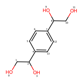 OCC(O)c1ccc(C(O)CO)cc1